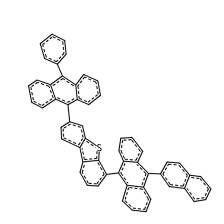 c1ccc(-c2c3ccccc3c(-c3ccc4c(c3)sc3c(-c5c6ccccc6c(-c6ccc7ccccc7c6)c6ccccc56)cccc34)c3ccccc23)cc1